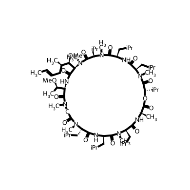 C/C=C/C[C@@H](C)[C@@H](OC)[C@@H]1C(=O)N[C@H]([C@@H](C)OC)C(=O)N(C)CC(=O)N(C)[C@@H](CC(C)C)C(=O)N[C@H](CC(C)C)C(=O)N(C)[C@H](CC(C)C)C(=O)N[C@H](C)C(=O)O[C@@H](C(C)C)C(=O)N(C)[C@H](CC(C)C)C(=O)N[C@H](CC(C)C)C(=O)N(C)[C@H](C(C)C)C(=O)N1C